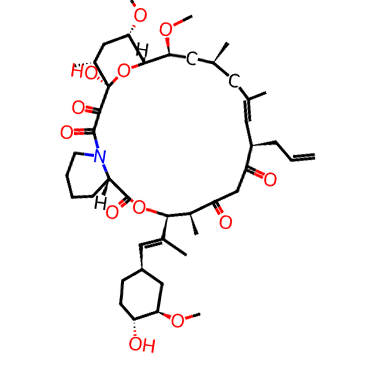 C=CC[C@@H]1/C=C(\C)C[C@H](C)C[C@H](OC)[C@H]2O[C@@](O)(C(=O)C(=O)N3CCCC[C@H]3C(=O)O[C@H](/C(C)=C/[C@@H]3CC[C@@H](O)[C@H](OC)C3)[C@H](C)C(=O)CC1=O)[C@H](C)C[C@@H]2OC